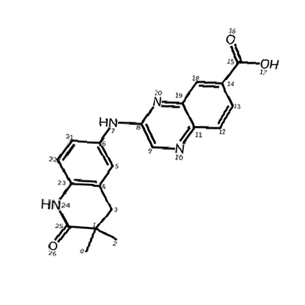 CC1(C)Cc2cc(Nc3cnc4ccc(C(=O)O)cc4n3)ccc2NC1=O